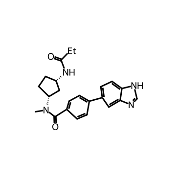 CCC(=O)N[C@H]1CC[C@@H](N(C)C(=O)c2ccc(-c3ccc4[nH]cnc4c3)cc2)C1